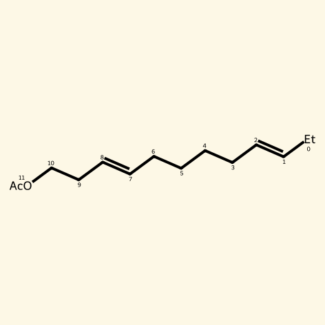 CC/C=C/CCCC/C=C/CCOC(C)=O